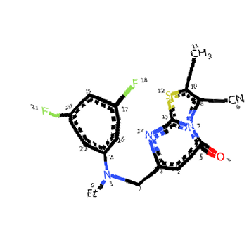 CCN(Cc1cc(=O)n2c(C#N)c(C)sc2n1)c1cc(F)cc(F)c1